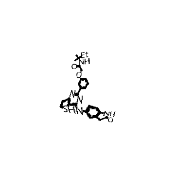 CCC(C)(C)NC(=O)COc1cccc(-c2nc(Nc3ccc4c(c3)CC(=O)N4)c3sccc3n2)c1